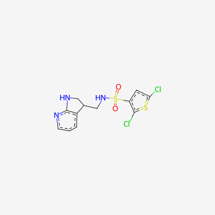 O=S(=O)(NCC1CNc2ncccc21)c1cc(Cl)sc1Cl